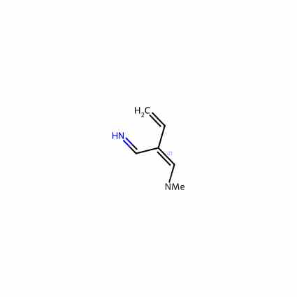 C=C/C(C=N)=C/NC